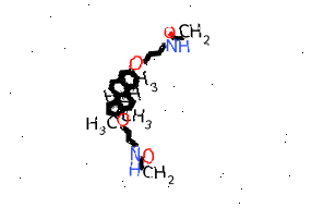 C=CC(=O)NCCCCOC1CC[C@@]2(C)C(CC[C@@H]3[C@H]2CC[C@@]2(C)[C@H]3CCC2(C)OCCCCNC(=O)C=C)C1